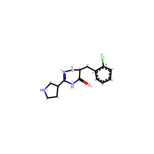 O=C1NC(C2CCNC2)=NCC1Cc1ccccc1Cl